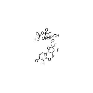 O=c1ccn([C@@H]2O[C@](F)(COP(=O)(O)OP(=O)(O)OP(=O)(O)O)[C@@H](F)[C@H]2F)c(=O)[nH]1